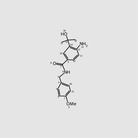 COc1ccc(CNC(=O)c2ccc(N)c(C(C)(C)O)c2)cc1